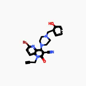 C#CCn1c(=O)c(C#N)c(N2CCN(Cc3ccccc3O)CC2)c2nc(Br)ccc21